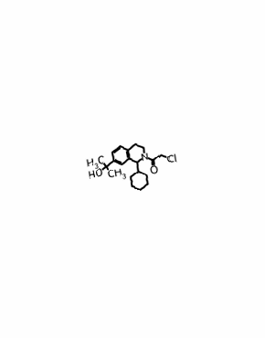 CC(C)(O)c1ccc2c(c1)C(C1CCCCC1)N(C(=O)CCl)CC2